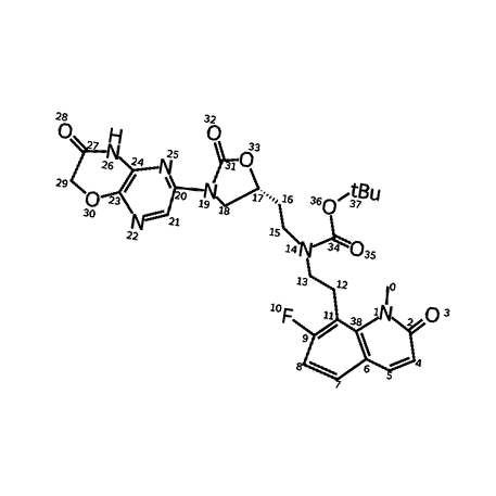 Cn1c(=O)ccc2ccc(F)c(CCN(CC[C@@H]3CN(c4cnc5c(n4)NC(=O)CO5)C(=O)O3)C(=O)OC(C)(C)C)c21